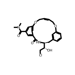 CN(C)C(=O)c1cc2cc(c1)C(=O)N[C@H]([C@H](O)CCl)Cc1cccc(c1)OC/C=C\CO2